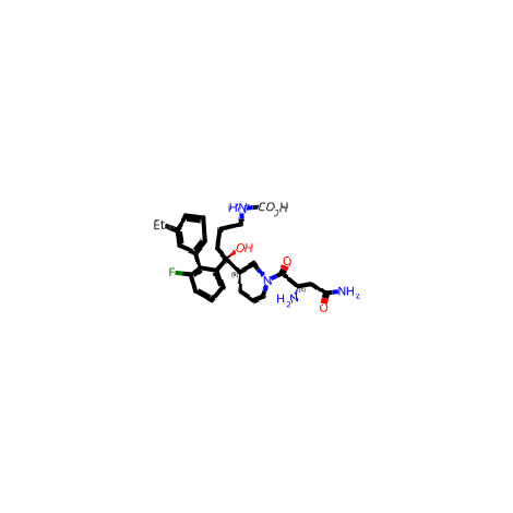 CCc1cccc(-c2c(F)cccc2[C@](O)(CCCNC(=O)O)[C@@H]2CCCN(C(=O)[C@@H](N)CC(N)=O)C2)c1